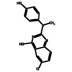 CN(c1ccc(O)cc1)c1nc(O)c2cc(Cl)ccc2n1